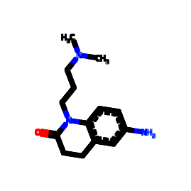 CN(C)CCCN1C(=O)CCc2cc(N)ccc21